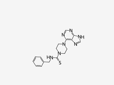 S=C(NCc1ccccc1)N1CCN(c2ncnc3[nH]cnc23)CC1